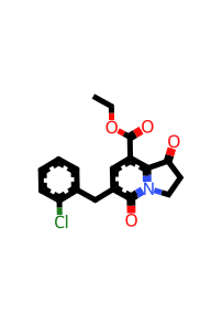 CCOC(=O)c1cc(Cc2ccccc2Cl)c(=O)n2c1C(=O)CC2